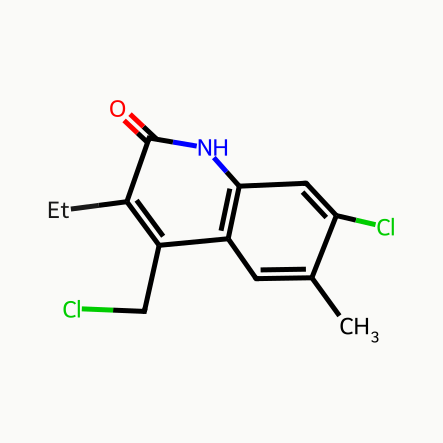 [CH2]Cc1c(CCl)c2cc(C)c(Cl)cc2[nH]c1=O